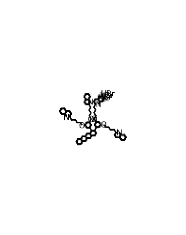 Br.Br.Br.Br.c1ccc2cc3cc4c(-c5cc(OCCCCc6ccc7ccccc7n6)cc(OCCCCc6ccc7ccccc7n6)c5)c(-c5cc(OCCCCc6ccc7ccccc7n6)cc(OCCCCc6ccc7ccccc7n6)c5)ccc4cc3cc2c1